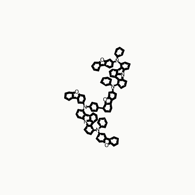 c1ccc(N(c2ccc3c(c2)oc2ccccc23)c2cccc3c2c2cccc4c5c(N(c6ccccc6)c6ccc7c(c6)oc6c(-c8ccc(N(c9ccc%10oc%11ccccc%11c%10c9)c9cccc%10c9c9cccc%11c%12c(N(c%13ccccc%13)c%13ccc%14oc%15ccccc%15c%14c%13)cccc%12n%10c%119)cc8)cccc67)cccc5n3c24)cc1